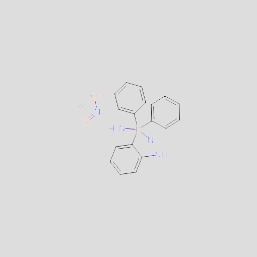 Nc1ccccc1P(N)(N)(c1ccccc1)c1ccccc1.O=NO.[Ru]